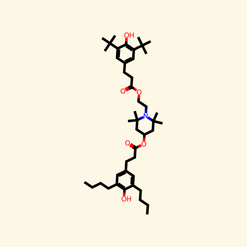 CCCCc1cc(CCC(=O)OC2CC(C)(C)N(CCOC(=O)CCc3cc(C(C)(C)C)c(O)c(C(C)(C)C)c3)C(C)(C)C2)cc(CCCC)c1O